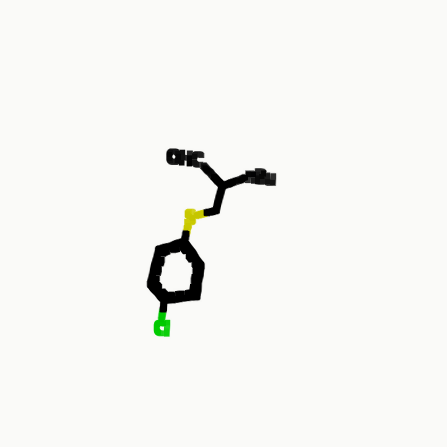 CCCCC(C=O)CSc1ccc(Cl)cc1